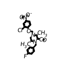 C[C@@H]1CN(COc2ccc([N+](=O)[O-])cc2Cl)[C@@H](C)C(=C=O)N1Cc1ccc(F)cc1